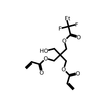 C=CC(=O)OCC(CO)(COC(=O)C=C)COC(=O)C(F)(F)CC